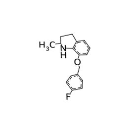 CC1CCc2cccc(OCc3ccc(F)cc3)c2N1